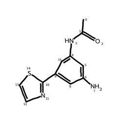 CC(=O)Nc1cc(N)cc(-c2nccs2)c1